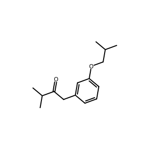 CC(C)COc1cccc(CC(=O)C(C)C)c1